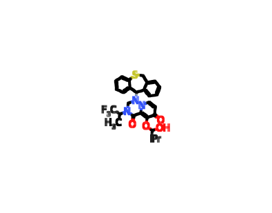 CC(C)C(O)Oc1c2n(ccc1=O)N([C@H]1c3ccccc3CSc3ccccc31)CN([C@@H](C)C(F)(F)F)C2=O